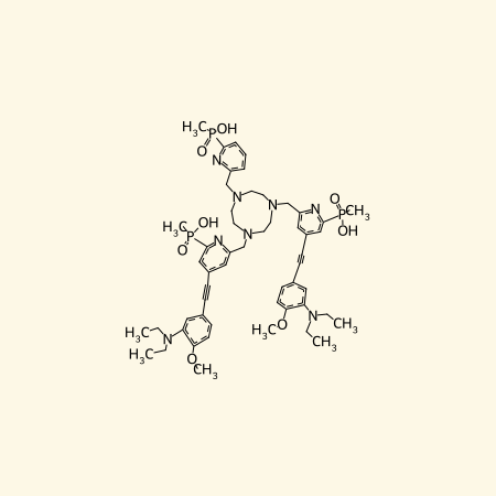 CCN(CC)c1cc(C#Cc2cc(CN3CCN(Cc4cccc(P(C)(=O)O)n4)CCN(Cc4cc(C#Cc5ccc(OC)c(N(CC)CC)c5)cc(P(C)(=O)O)n4)CC3)nc(P(C)(=O)O)c2)ccc1OC